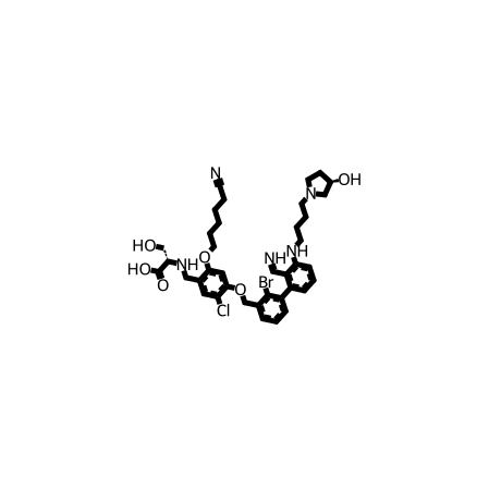 N#CCCCCCOc1cc(OCc2cccc(-c3cccc(NCCCCN4CC[C@@H](O)C4)c3C=N)c2Br)c(Cl)cc1CN[C@@H](CO)C(=O)O